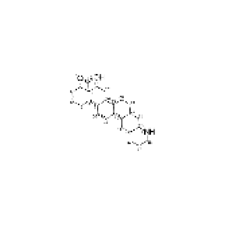 O=C(O)C12CCCCC1=C1C=CC3=C4CC5CCCNC5CC4CCC3C1CC2